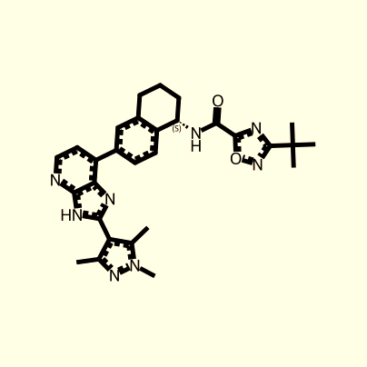 Cc1nn(C)c(C)c1-c1nc2c(-c3ccc4c(c3)CCC[C@@H]4NC(=O)c3nc(C(C)(C)C)no3)ccnc2[nH]1